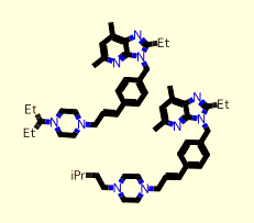 CCc1nc2c(C)cc(C)nc2n1Cc1ccc(C=CCN2CCN(C(CC)CC)CC2)cc1.CCc1nc2c(C)cc(C)nc2n1Cc1ccc(C=CCN2CCN(CCC(C)C)CC2)cc1